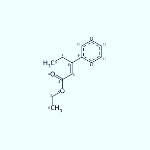 CCOC(=O)C=C(CC)c1ccccc1